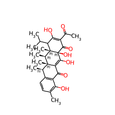 CC(=O)C1=C(O)C(C(C)C)[C@@]2(C)[C@H](C)[C@]3(C)C(=C(O)[C@@]2(O)C1=O)C(=O)c1c(ccc(C)c1O)[C@H]3C